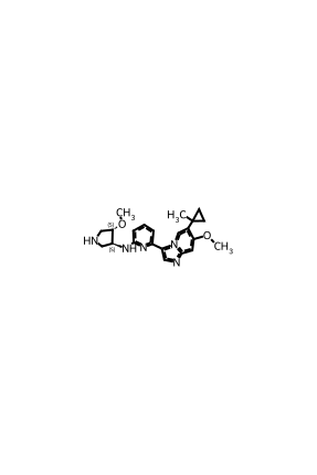 COc1cc2ncc(-c3cccc(N[C@H]4CNC[C@@H]4OC)n3)n2cc1C1(C)CC1